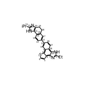 CCc1nc2c3ccsc3c3cc(-c4ccc5c(c4)CCc4nc(C(C)C)[nH]c4-5)ccc3c2[nH]1